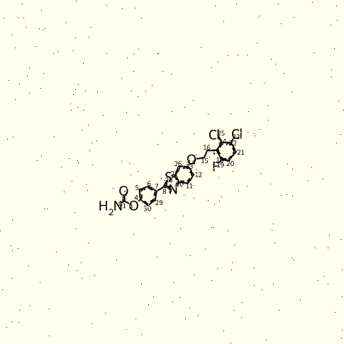 NC(=O)Oc1ccc(-c2nc3ccc(OCCc4c(F)ccc(Cl)c4Cl)cc3s2)cc1